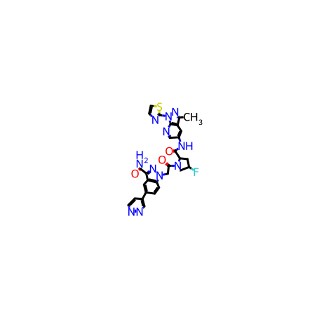 Cc1nn(-c2nccs2)c2ncc(NC(=O)C3CC(F)CN3C(=O)Cn3nc(C(N)=O)c4cc(-c5ccnnc5)ccc43)cc12